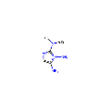 CCCN(CC)c1ncc(N)n1N